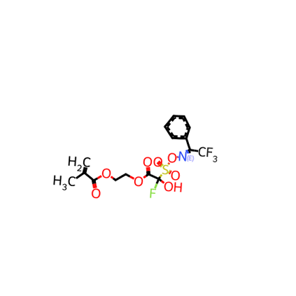 C=C(C)C(=O)OCCOC(=O)C(O)(F)S(=O)(=O)O/N=C(\c1ccccc1)C(F)(F)F